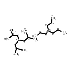 CC(C)[CH2][Al]([CH2]C(C)C)[CH2]C(C)C.CC[CH2][Al]([CH2]CC)[CH2]CC